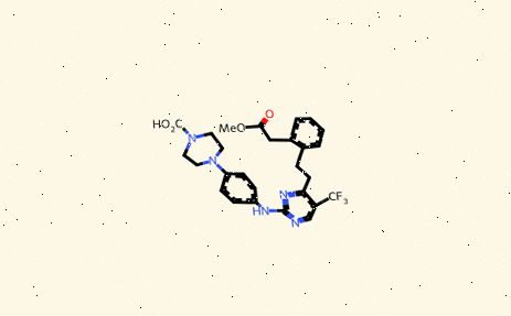 COC(=O)Cc1ccccc1CCc1nc(Nc2ccc(N3CCN(C(=O)O)CC3)cc2)ncc1C(F)(F)F